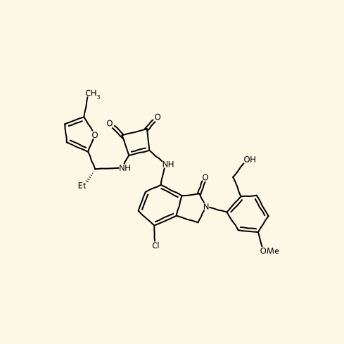 CC[C@@H](Nc1c(Nc2ccc(Cl)c3c2C(=O)N(c2cc(OC)ccc2CO)C3)c(=O)c1=O)c1ccc(C)o1